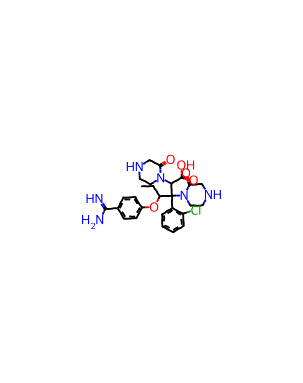 CCC(Oc1ccc(C(=N)N)cc1)C(c1ccccc1Cl)(C(C(=O)O)N1CCNCC1=O)N1CCNCC1=O